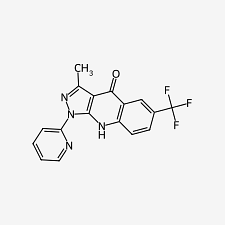 Cc1nn(-c2ccccn2)c2[nH]c3ccc(C(F)(F)F)cc3c(=O)c12